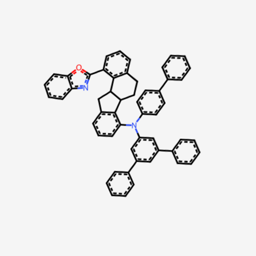 c1ccc(-c2ccc(N(c3cc(-c4ccccc4)cc(-c4ccccc4)c3)c3cccc4c3C3CCc5cccc(-c6nc7ccccc7o6)c5C3C4)cc2)cc1